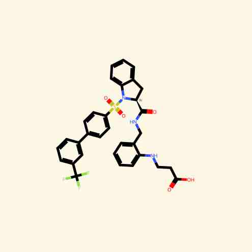 O=C(O)CCNc1ccccc1CNC(=O)[C@@H]1Cc2ccccc2N1S(=O)(=O)c1ccc(-c2cccc(C(F)(F)F)c2)cc1